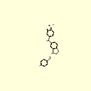 COc1ccc(COC2CCc3ccc(C(O)c4ccc5c(c4)nnn5I)cc32)cc1